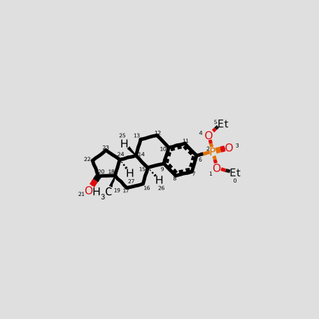 CCOP(=O)(OCC)c1ccc2c(c1)CC[C@@H]1[C@@H]2CC[C@]2(C)C(=O)CC[C@@H]12